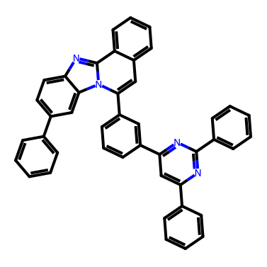 c1ccc(-c2ccc3nc4c5ccccc5cc(-c5cccc(-c6cc(-c7ccccc7)nc(-c7ccccc7)n6)c5)n4c3c2)cc1